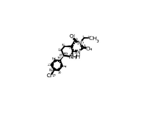 CCn1c(=O)[nH]c2c(c1=O)CC[C@H](c1ccc(Cl)cc1)N2